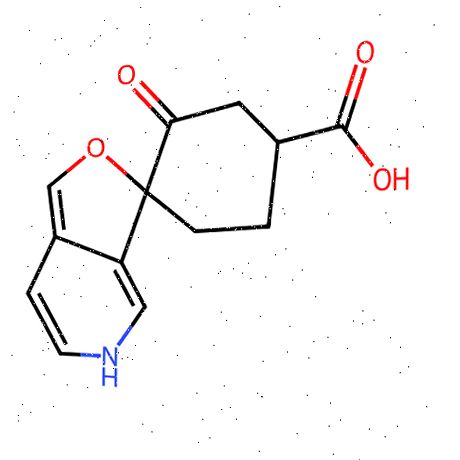 O=C(O)C1CCC2(OC=C3C=CNC=C32)C(=O)C1